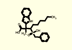 CCCCCCC(C(C)(C(=O)O)c1cc2ccccc2[nH]1)P(=O)(O)Cc1ccccc1